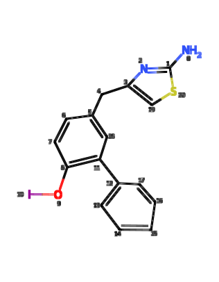 Nc1nc(Cc2ccc(OI)c(-c3ccccc3)c2)cs1